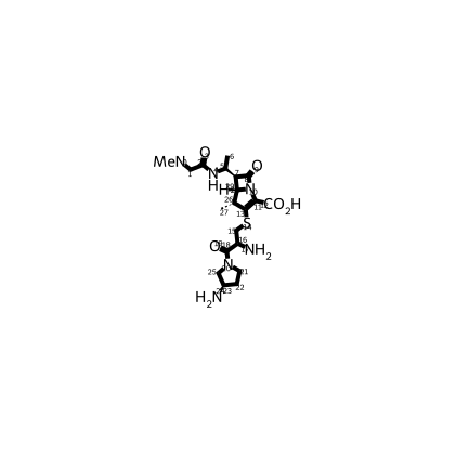 CNCC(=O)NC(C)[C@H]1C(=O)N2C(C(=O)O)=C(SCC(N)C(=O)N3CC[C@@H](N)C3)[C@H](C)[C@H]12